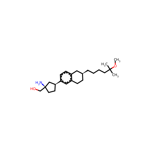 COC(C)(C)CCCC[C@H]1CCc2cc([C@H]3CC[C@](N)(CO)C3)ccc2C1